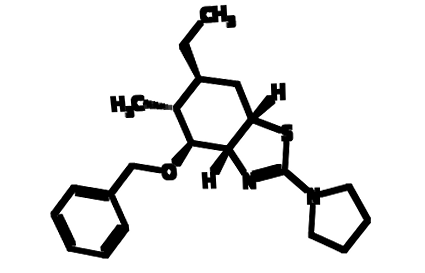 CC[C@H]1C[C@@H]2SC(N3CCCC3)=N[C@@H]2[C@@H](OCc2ccccc2)[C@@H]1C